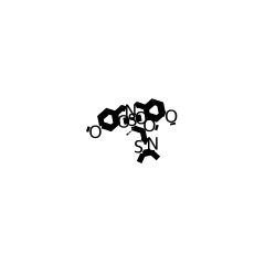 COc1ccc(CN(Cc2ccc(OC)cc2)S(=O)(=O)[C@@H](C)[C@H](OC)c2nc(C)c(C)s2)cc1